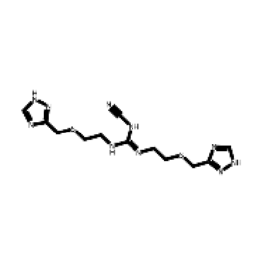 N#CNC(=NCCSCc1nc[nH]n1)NCCSCc1nc[nH]n1